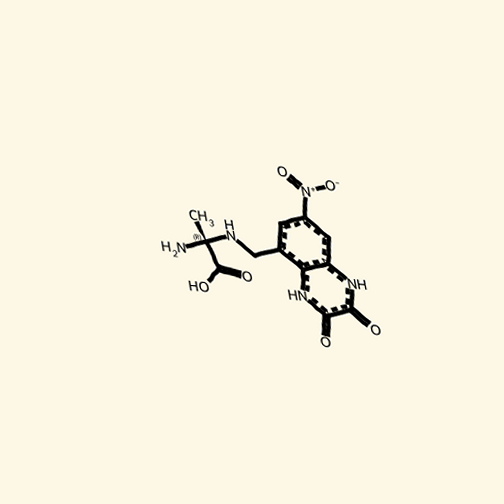 C[C@@](N)(NCc1cc([N+](=O)[O-])cc2[nH]c(=O)c(=O)[nH]c12)C(=O)O